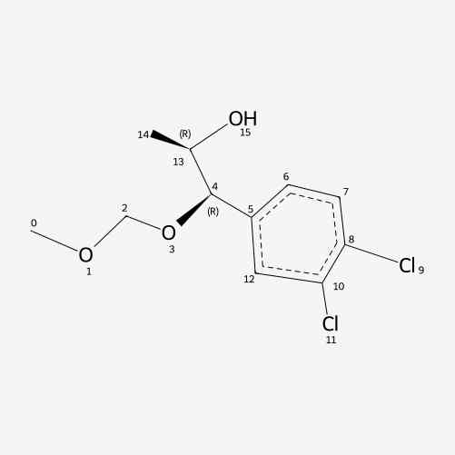 COCO[C@H](c1ccc(Cl)c(Cl)c1)[C@@H](C)O